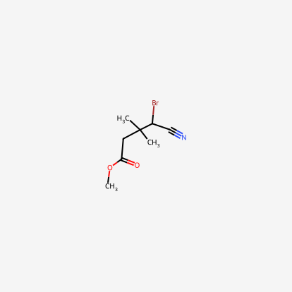 COC(=O)CC(C)(C)C(Br)C#N